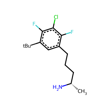 C[C@H](N)CCCc1cc(C(C)(C)C)c(F)c(Cl)c1F